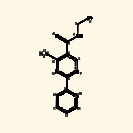 CC(C)CNC(=O)c1cnc(-c2ccccn2)nc1N